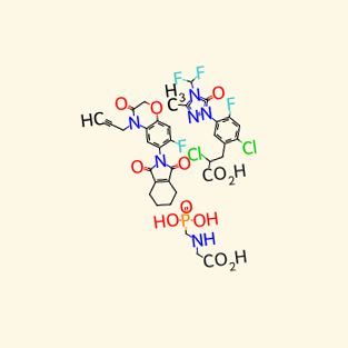 C#CCN1C(=O)COc2cc(F)c(N3C(=O)C4=C(CCCC4)C3=O)cc21.Cc1nn(-c2cc(CC(Cl)C(=O)O)c(Cl)cc2F)c(=O)n1C(F)F.O=C(O)CNCP(=O)(O)O